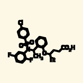 CCC(CCC(=O)O)Oc1ccccc1C(C)N(c1cc(F)ccc1F)S(=O)(=O)c1ccc(Cl)cc1